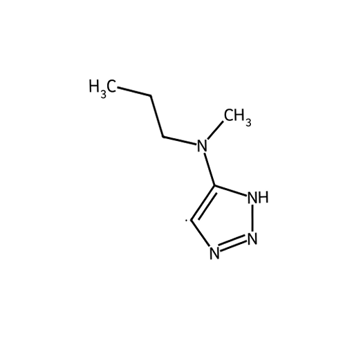 CCCN(C)c1[c]nn[nH]1